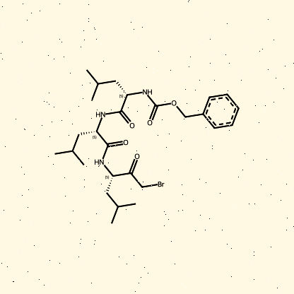 CC(C)C[C@H](NC(=O)[C@H](CC(C)C)NC(=O)[C@H](CC(C)C)NC(=O)OCc1ccccc1)C(=O)CBr